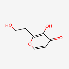 O=c1ccoc(CCO)c1O